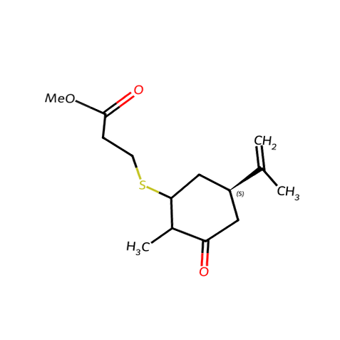 C=C(C)[C@H]1CC(=O)C(C)C(SCCC(=O)OC)C1